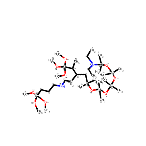 CCN(CC)[Si](C)(C)O[Si](C)(C)O[Si](C)(C)O[Si](C)(C)O[Si](C)(C)CC([SiH2]CNCCC[Si](OC)(OC)OC)C(C)[Si](OC)(OC)OC